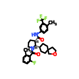 Cc1ccc(NC(=O)[C@H]2CCCN(C(=O)c3c(C)cccc3F)[C@H]2C2CCC3(CCOC3)CC2)cc1C(F)(F)F